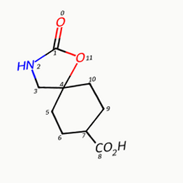 O=C1NCC2(CCC(C(=O)O)CC2)O1